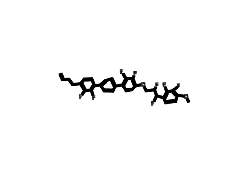 C=CCCc1ccc(-c2ccc(-c3ccc(OCC(F)C(F)c4ccc(OC)c(F)c4F)c(F)c3F)cc2)c(F)c1F